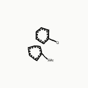 CSc1ccccc1.Clc1ccccc1